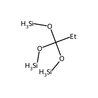 [CH2]CC(O[SiH3])(O[SiH3])O[SiH3]